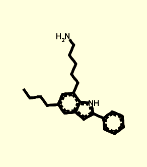 CCCCc1cc(CCCCCN)c2[nH]c(-c3ccccc3)cc2c1